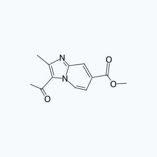 COC(=O)c1ccn2c(C(C)=O)c(C)nc2c1